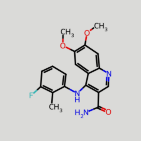 COc1cc2ncc(C(N)=O)c(Nc3cccc(F)c3C)c2cc1OC